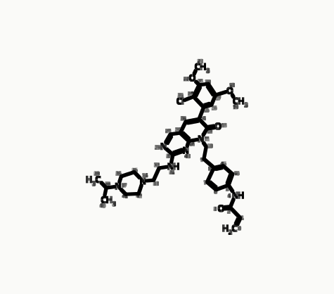 C=CC(=O)Nc1ccc(CCn2c(=O)c(-c3cc(OC)cc(OC)c3Cl)cc3cnc(NCCN4CCN(C(C)C)CC4)nc32)cc1